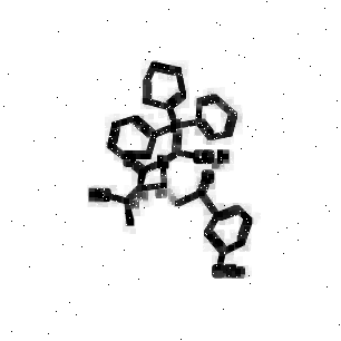 COc1cccc(C(=O)C[C@@H]2[C@@H]([C@@H](C)O)C(=O)N2C(C(=O)O)=P(c2ccccc2)(c2ccccc2)c2ccccc2)c1